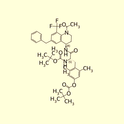 CC(=O)N1CC[C@@H](NC(=O)[C@H](Cc2c(C)cc(OC(=O)OC(C)(C)C)cc2C)NC(=O)OC(C)(C)C)c2cc(Cc3ccccc3)cc(C(F)(F)F)c21